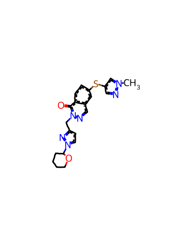 Cn1cc(Sc2ccc3c(=O)n(Cc4ccn(C5CCCCO5)n4)ncc3c2)cn1